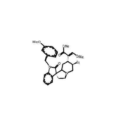 CC[C@H]1CN2CC[C@]3(C(=O)N(Cc4cccc(OC)c4)c4ccccc43)C2C[C@@H]1/C(=C\OC)C(=O)OC